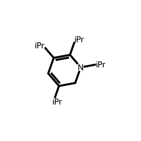 CC(C)C1=CC(C(C)C)=C(C(C)C)N(C(C)C)C1